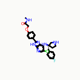 CNC(=O)COc1ccc(-c2nc3c(N[C@]4(Cc5ccc(F)cc5)CCNC4)c(Cl)cnc3[nH]2)cc1